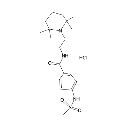 CC1(C)CCCC(C)(C)N1CCNC(=O)c1ccc(NS(C)(=O)=O)cc1.Cl